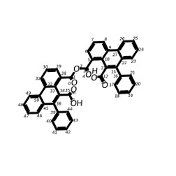 O=C(OC(=O)c1cccc2c1c(C(=O)O)c(-c1ccccc1)c1ccccc12)c1cccc2c1c(C(=O)O)c(-c1ccccc1)c1ccccc12